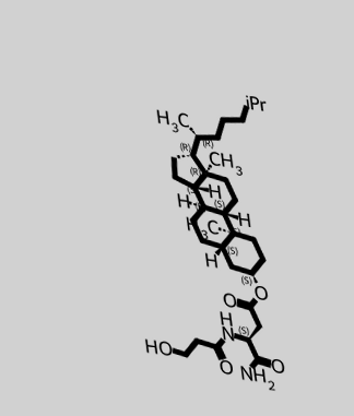 CC(C)CCC[C@@H](C)[C@H]1CC[C@H]2[C@@H]3CC[C@H]4C[C@@H](OC(=O)C[C@H](NC(=O)CCO)C(N)=O)CC[C@]4(C)[C@H]3CC[C@]12C